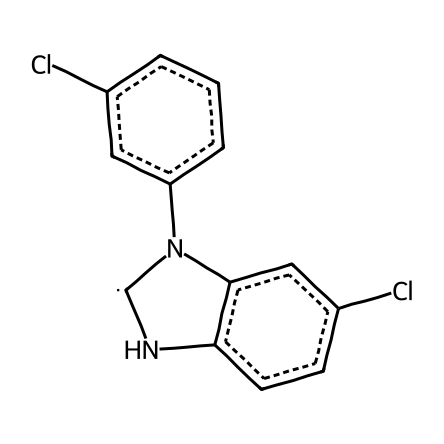 Clc1cccc(N2[CH]Nc3ccc(Cl)cc32)c1